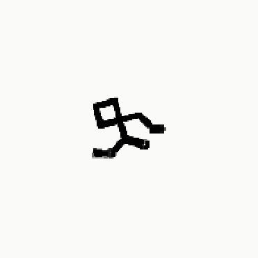 COC(=O)C1(C[NH])CCC1